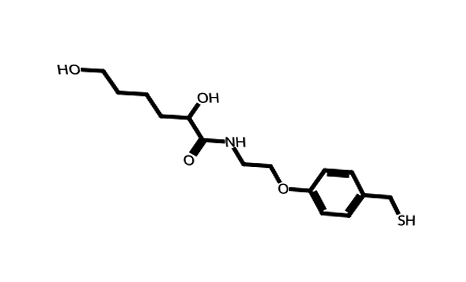 O=C(NCCOc1ccc(CS)cc1)C(O)CCCCO